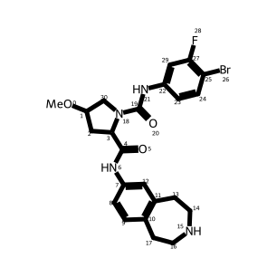 COC1CC(C(=O)Nc2ccc3c(c2)CCNCC3)N(C(=O)Nc2ccc(Br)c(F)c2)C1